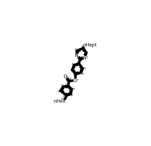 CCCCCCCc1cnc(-c2ccc(OC(=O)c3ccc(CCCCCC)cc3)cc2)nc1